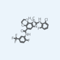 Cn1c(Nc2c(F)cccc2Cl)nc2cc(C(=O)Nc3cc(C(F)(F)F)ccc3F)c3c(c21)OCCO3